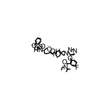 CCN(C(=O)c1cc(F)ccc1Oc1cncnc1N1CC2(CCN(C[C@@]3(O)CC[C@@H](NS(=O)(=O)c4ccccc4OC)CO3)CC2)C1)C(C)C